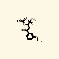 COc1cccc(C(O)CC(NC(=O)O)C(C)(C)C)c1